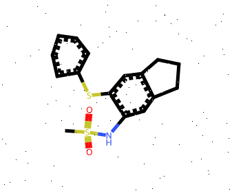 CS(=O)(=O)Nc1cc2c(cc1Sc1ccccc1)CCC2